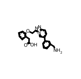 NCc1cccc(-c2ccc3nnc(COc4ccccc4CC(=O)O)n3c2)c1